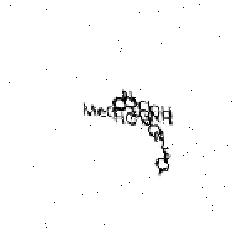 COc1ccc2ncc(Cl)c([C@H](O)CCC3(C(=O)NO)CCN(CCSc4ccc(C)cc4)CC3)c2c1